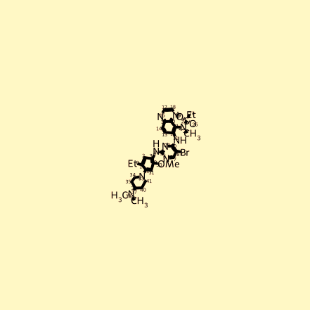 CCc1cc(Nc2ncc(Br)c(Nc3ccc4nccnc4c3N(C)S(=O)(=O)CC)n2)c(OC)cc1N1CCC(N(C)C)CC1